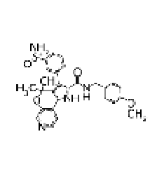 COc1ccc(CNC(=O)c2[nH]c3c(c2-c2cccc([S+](N)[O-])c2)C(C)(C)Oc2cnccc2-3)cc1